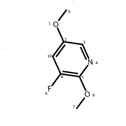 COc1cnc(OC)c(F)c1